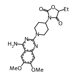 CCC1OC(=O)N(C2CCN(c3nc(N)c4cc(OC)c(OC)cc4n3)CC2)C1=O